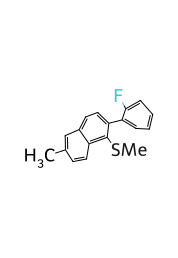 CSc1c(-c2ccccc2F)ccc2cc(C)ccc12